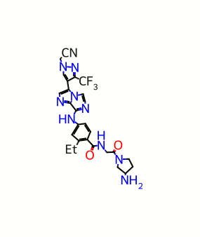 CCc1cc(Nc2nccn3c(-c4cn(CC#N)nc4C(F)(F)F)cnc23)ccc1C(=O)NCC(=O)N1CC[C@@H](N)C1